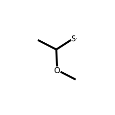 COC(C)[S]